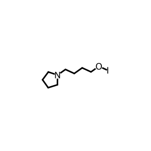 IOCCCCN1CCCC1